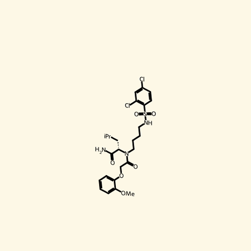 COc1ccccc1OCC(=O)N(CCCCNS(=O)(=O)c1ccc(Cl)cc1Cl)[C@@H](CC(C)C)C(N)=O